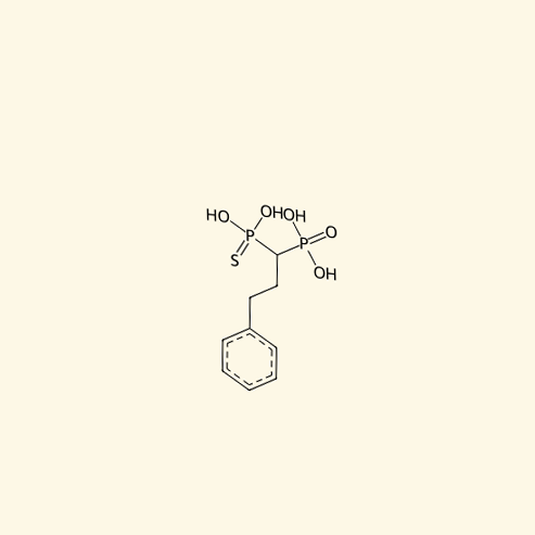 O=P(O)(O)C(CCc1ccccc1)P(O)(O)=S